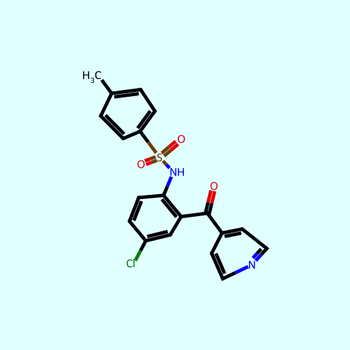 Cc1ccc(S(=O)(=O)Nc2ccc(Cl)cc2C(=O)c2ccncc2)cc1